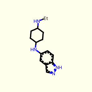 CCNC1CCC(Nc2ccc3[nH]ncc3c2)CC1